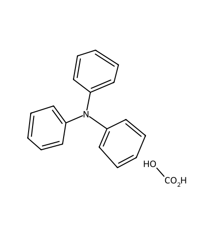 O=C(O)O.c1ccc(N(c2ccccc2)c2ccccc2)cc1